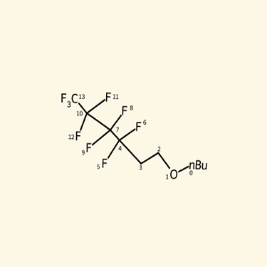 [CH2]CCCOCCC(F)(F)C(F)(F)C(F)(F)C(F)(F)F